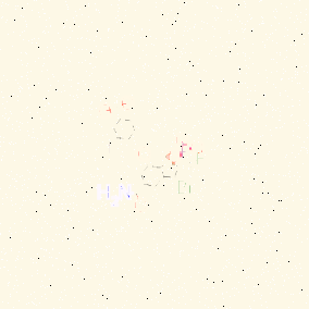 CCOP(=O)(OCC)C(F)(F)c1sc2c(OCc3ccc(S(C)(=O)=O)cc3I)cc(C(N)=O)cc2c1Br